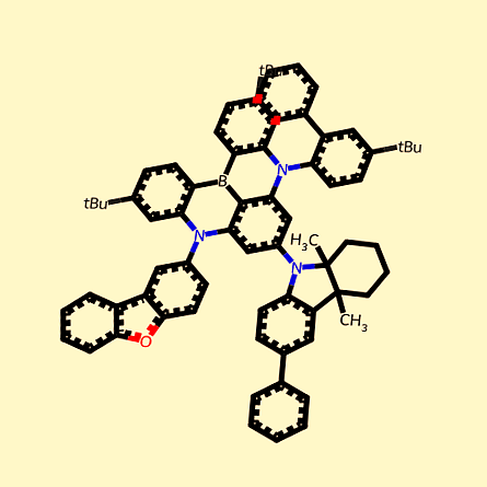 CC(C)(C)c1ccc(N2c3cc(C(C)(C)C)ccc3B3c4ccc(C(C)(C)C)cc4N(c4ccc5oc6ccccc6c5c4)c4cc(N5c6ccc(-c7ccccc7)cc6C6(C)CCCCC56C)cc2c43)c(-c2ccccc2)c1